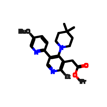 CCc1ncc(-c2ccc(OCC(C)C)cn2)c(N2CCC(C)(C)CC2)c1CC(=O)OC(C)C